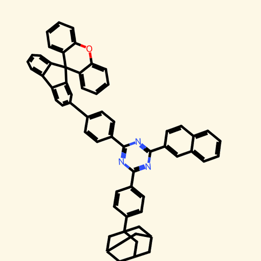 c1ccc2c(c1)Oc1ccccc1C21c2ccccc2-c2ccc(-c3ccc(-c4nc(-c5ccc(C67CC8CC(CC(C8)C6)C7)cc5)nc(-c5ccc6ccccc6c5)n4)cc3)cc21